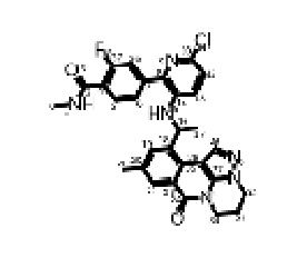 CNC(=O)c1ccc(-c2nc(Cl)ccc2NC(C)c2cc(C)cc3c(=O)n4c5c(cnn5CCC4)c23)cc1F